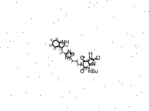 CCCCn1c(=O)n(CCCc2nc(Cc3c[nH]c4ccccc34)no2)c(=O)c2[nH]c(Cl)nc21